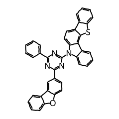 c1ccc(-c2nc(-c3ccc4oc5ccccc5c4c3)nc(-n3c4ccccc4c4c5sc6ccccc6c5ccc43)n2)cc1